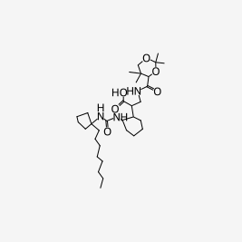 CCCCCCCCC1(NC(=O)NC2CCCCC2C(CNC(=O)C2OC(C)(C)OCC2(C)C)C(=O)O)CCCC1